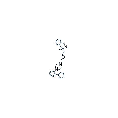 CN(Cc1ccccc1)C(=O)CCOCCN1CCN(c2ccccc2-c2ccccc2)CC1